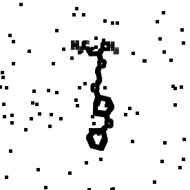 CCC(C)OCCOc1ccc(Oc2ccccc2)cc1